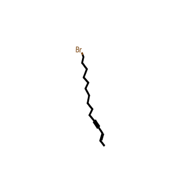 CC=CC#CCCCCCCCCCCBr